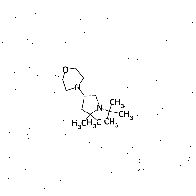 CC(C)(C)N1CC(N2CCOCC2)CC1(C)C